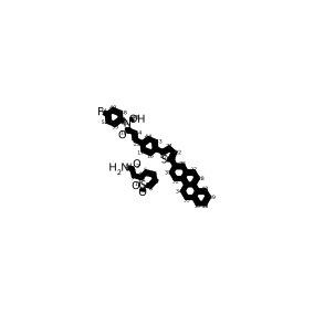 NC(=O)CC1C=CC=CS1(=O)=O.O=C(C=Cc1ccc(-c2ccc(C3=Cc4ccc5c(c4CC3)CCc3ccccc3-5)s2)cc1)N(O)c1ccc(F)cc1